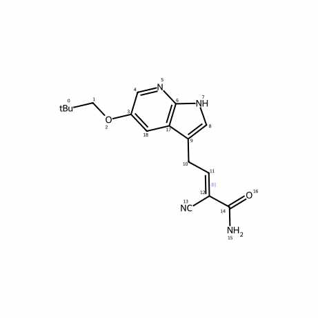 CC(C)(C)COc1cnc2[nH]cc(C/C=C(\C#N)C(N)=O)c2c1